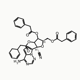 N#C[C@@]1(c2ccc3c(N)ncnn23)O[C@H](COC(=O)Cc2ccccc2)C(OC(=O)Cc2ccccc2)C1OC(=O)CC1C=CC=CC1